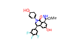 COC(=N)c1cc(O)cc2c(-c3cc(F)c(F)c(F)c3)cn(C3=CCC(O)C=C3)c(=O)c12